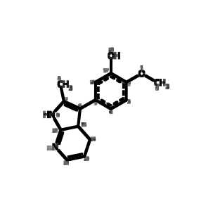 COc1ccc(C2=C(C)NC3=NC=CCC32)cc1O